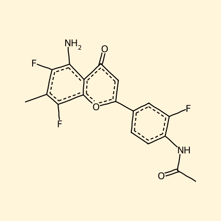 CC(=O)Nc1ccc(-c2cc(=O)c3c(N)c(F)c(C)c(F)c3o2)cc1F